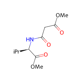 COC(=O)CC(=O)N[C@@H](C(=O)OC)C(C)C